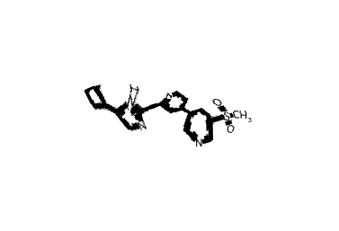 CS(=O)(=O)c1cncc(-c2ccnc(-c3ncc(C4CCC4)[nH]3)c2)c1